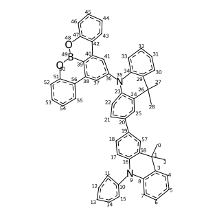 CC1(C)c2ccccc2N(c2ccccc2)c2ccc(-c3ccc4c(c3)C(C)(C)c3ccccc3N4c3cc4c5c(c3)-c3ccccc3OB5Oc3ccccc3-4)cc21